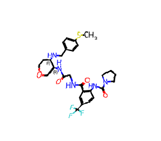 CSc1ccc(CN[C@@H]2CCOC[C@@H]2NC(=O)CNC(=O)c2cc(C(F)(F)F)ccc2NC(=O)N2CCCC2)cc1